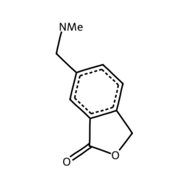 CNCc1ccc2c(c1)C(=O)OC2